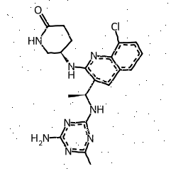 Cc1nc(N)nc(N[C@@H](C)c2cc3cccc(Cl)c3nc2N[C@@H]2CCC(=O)NC2)n1